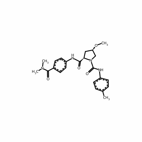 CO[C@@H]1C[C@H](C(=O)Nc2ccc(C(=O)N(C)C)cc2)N(C(=O)Nc2ccc(C)cc2)C1